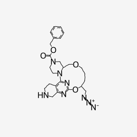 [N-]=[N+]=NCC1CCCOCC2CN(C(=O)OCc3ccccc3)CCN2c2nc(nc3c2CCNC3)O1